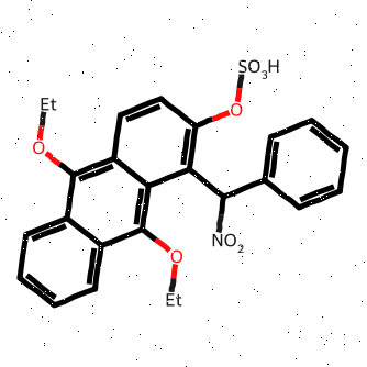 CCOc1c2ccccc2c(OCC)c2c(C(c3ccccc3)[N+](=O)[O-])c(OS(=O)(=O)O)ccc12